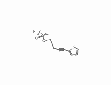 CS(=O)(=O)OCCC#Cc1cccs1